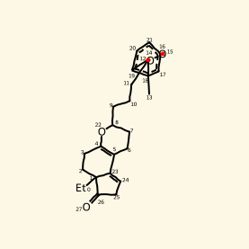 CCC12CCC3=C(CCC(CCCC4(C)OOc5ccc4cc5)O3)C1=CCC2=O